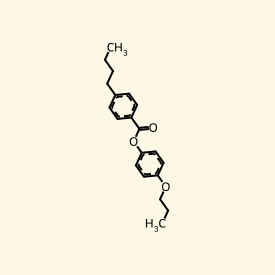 CCCCc1ccc(C(=O)Oc2ccc(OCCC)cc2)cc1